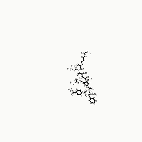 CC[C@H](C)[C@H](NC(=O)CCCCCNC)C(=O)N(C)[C@H](C[C@@H](OC(C)=O)c1nc(C(=O)N[C@H](C)[C@@H](OC(=O)c2ccc(C(C)=O)cc2)c2ccccc2)cs1)C(C)C